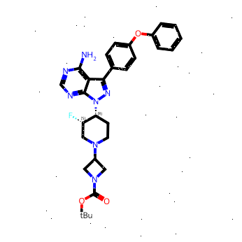 CC(C)(C)OC(=O)N1CC(N2CC[C@@H](n3nc(-c4ccc(Oc5ccccc5)cc4)c4c(N)ncnc43)[C@@H](F)C2)C1